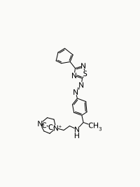 CC(NCC[N+]12CCN(CC1)CC2)c1ccc(N=Nc2nc(-c3ccccc3)ns2)cc1